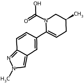 C[C@H]1CC=C(c2ccc3nn(C)cc3c2)N(C(=O)O)C1